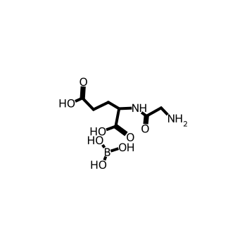 NCC(=O)NC(CCC(=O)O)C(=O)O.OB(O)O